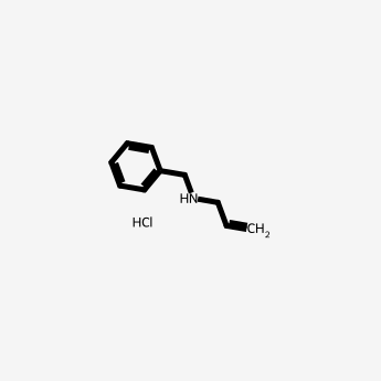 C=CCNCc1ccccc1.Cl